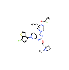 C=C(F)C(=O)N1CCN(c2nc(OC[C@@H]3CCCN3C)nc3c2CCN(c2ccc(F)c4sccc24)C3)C[C@@H]1CC#N